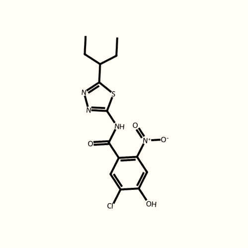 CCC(CC)c1nnc(NC(=O)c2cc(Cl)c(O)cc2[N+](=O)[O-])s1